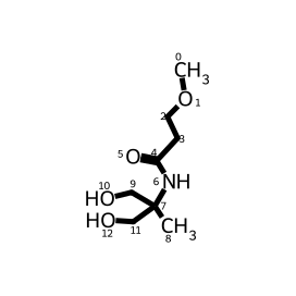 COCCC(=O)NC(C)(CO)CO